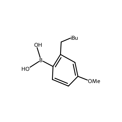 CCC(C)Cc1cc(OC)ccc1B(O)O